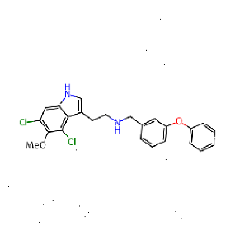 COc1c(Cl)cc2[nH]cc(CCNCc3cccc(Oc4ccccc4)c3)c2c1Cl